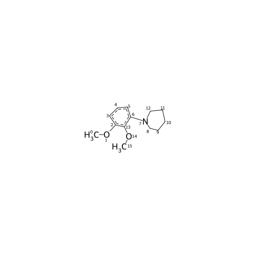 COc1cccc(N2CCCCC2)c1OC